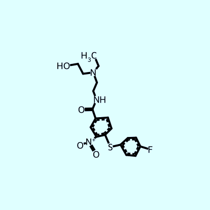 CCN(CCO)CCNC(=O)c1ccc(Sc2ccc(F)cc2)c([N+](=O)[O-])c1